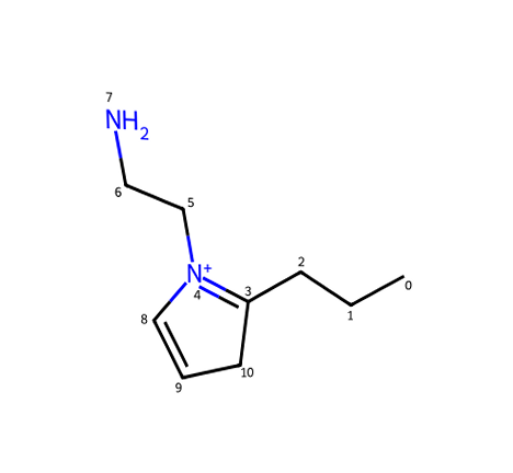 CCCC1=[N+](CCN)C=CC1